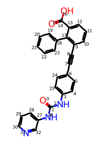 O=C(Nc1ccc(C#Cc2cccc(C(=O)O)c2-c2ccccc2)cc1)Nc1cccnc1